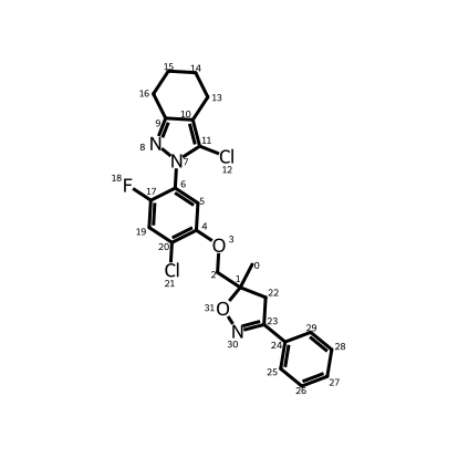 CC1(COc2cc(-n3nc4c(c3Cl)CCCC4)c(F)cc2Cl)CC(c2ccccc2)=NO1